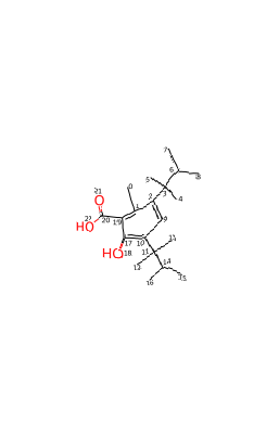 Cc1c(C(C)(C)C(C)C)cc(C(C)(C)C(C)C)c(O)c1C(=O)O